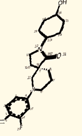 N#Cc1ccc(N2CCC[C@@]3(CCN(C4CCC(O)CC4)C3=O)C2)cc1F